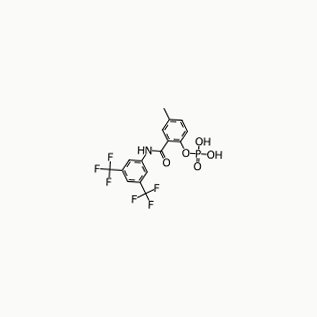 Cc1ccc(OP(=O)(O)O)c(C(=O)Nc2cc(C(F)(F)F)cc(C(F)(F)F)c2)c1